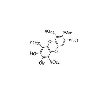 CCCCCCCCc1cc2c(c(CCCCCCCC)c1CCCCCCCC)Oc1c(CCCCCCCC)c(O)c(O)c(CCCCCCCC)c1O2